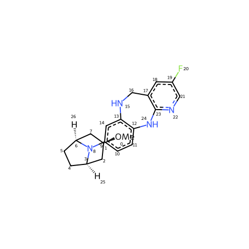 CO[C@H]1C[C@H]2CC[C@@H](C1)N2c1ccc2c(c1)NCc1cc(F)cnc1N2